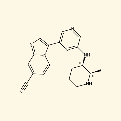 C[C@H]1NCCC[C@H]1Nc1cncc(-c2cnc3cc(C#N)ccn23)n1